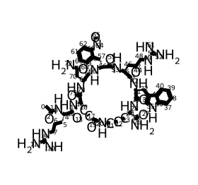 CC(=O)N[C@@H](CCCNC(=N)N)C(=O)N[C@H]1CCC(=O)NCCC[C@@H](C(N)=O)NC(=O)[C@H](Cc2c[nH]c3ccccc23)NC(=O)[C@H](CCCNC(=N)N)NC(=O)[C@@H](Cc2ccccc2N=O)NC(=O)[C@H](CCN)NC1=O